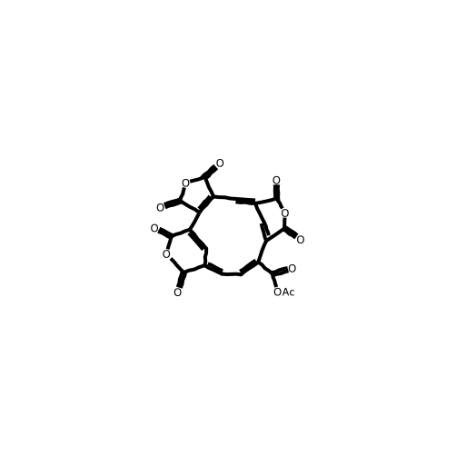 CC(=O)OC(=O)c1ccc2cc(c3c(=O)oc(=O)c=3cc3cc1C(=O)OC3=O)C(=O)OC2=O